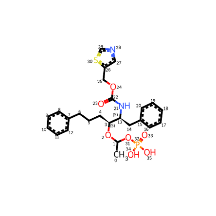 CC(O[C@@H](CCCc1ccccc1)[C@H](Cc1ccccc1)NC(=O)OCc1cncs1)OP(=O)(O)O